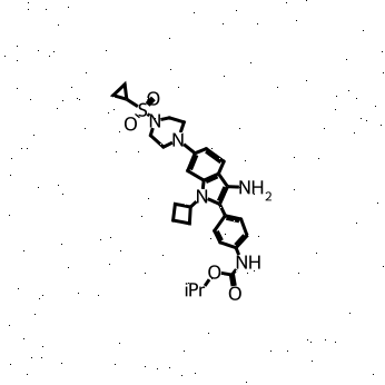 CC(C)OC(=O)Nc1ccc(-c2c(N)c3ccc(N4CCN(S(=O)(=O)C5CC5)CC4)cc3n2C2CCC2)cc1